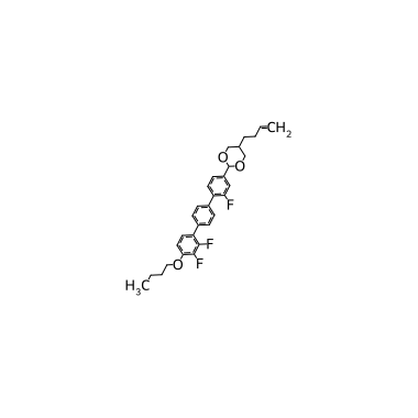 C=CCCC1COC(c2ccc(-c3ccc(-c4ccc(OCCCC)c(F)c4F)cc3)c(F)c2)OC1